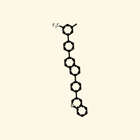 Cc1cc(-c2ccc(-c3ccc4cc(-c5ccc(-c6cnc7ccccc7c6)cc5)ccc4c3)cc2)cc(C(F)(F)F)c1